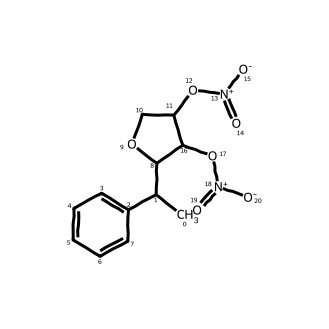 CC(c1ccccc1)C1OCC(O[N+](=O)[O-])C1O[N+](=O)[O-]